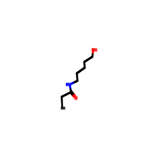 CC(=O)CC(=O)NCCCCCO